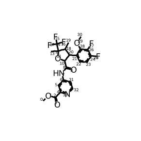 COC(=O)c1cc(NC(=O)C2OC(C)(C(F)(F)F)C(C)C2c2ccc(F)c(F)c2OC)ccn1